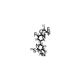 CSc1nc(-c2cnc(O[C@@H](C)C(F)(F)F)c(F)c2)cc2cncn12